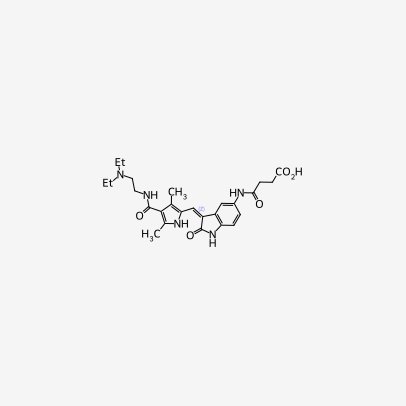 CCN(CC)CCNC(=O)c1c(C)[nH]c(/C=C2\C(=O)Nc3ccc(NC(=O)CCC(=O)O)cc32)c1C